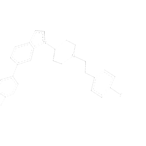 Fc1ccc(CCN2CCC(n3ccc4ccc(-c5ccc(F)cc5)cc43)CC2)cc1